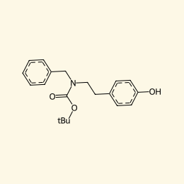 CC(C)(C)OC(=O)N(CCc1ccc(O)cc1)Cc1ccccc1